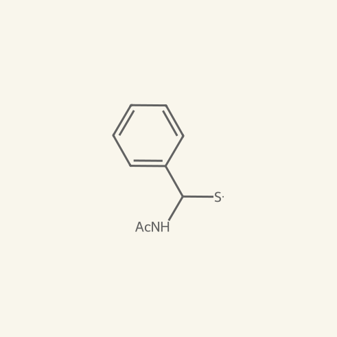 CC(=O)NC([S])c1ccccc1